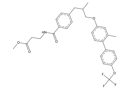 COC(=O)CCNC(=O)c1ccc(CC(C)COc2ccc(-c3ccc(OC(F)(F)F)cc3)c(C)c2)cc1